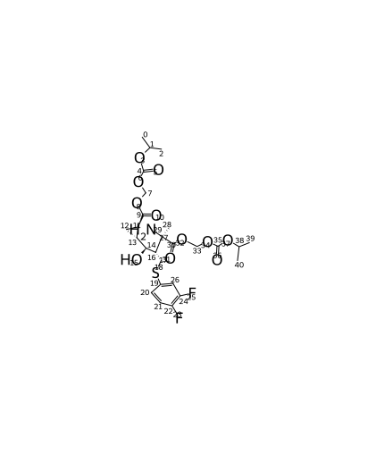 CC(C)OC(=O)OCOC(=O)[C@@H]1C[C@H]1[C@H](O)[C@@H](CSc1ccc(F)c(F)c1)[C@@](C)(N)C(=O)OCOC(=O)OC(C)C